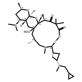 CO[C@]12C[C@@H](C)CN(C)[C@H]([C@H]3C[C@@H](N(C)CC4CC4)C3)COC(=O)C(C)(C)C(=O)[C@H](C)[C@H]1O[C@@H]1O[C@H](C)C[C@H](N(C)C)[C@H]1C2